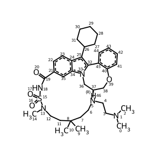 CN(C)CCN1CCC(C)(C)CCN(C)S(=O)(=O)NC(=O)c2ccc3c(C4CCCCC4)c4n(c3c2)C[C@@H]1COc1ccccc1-4